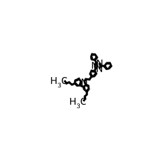 CCCCc1ccc2c(c1)c1cc(CCCC)ccc1n2CCc1ccc(-c2nc(-c3ccccc3)nc(-c3ccccc3)n2)cc1